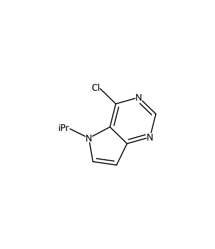 CC(C)n1ccc2ncnc(Cl)c21